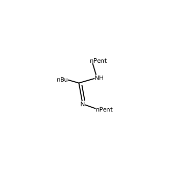 CCCCCN=C(CCCC)NCCCCC